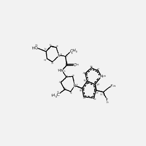 CC1CC(NC(=O)C(C)N2CCC(O)CC2)CN(c2ccc(C(F)F)c3ncccc23)C1